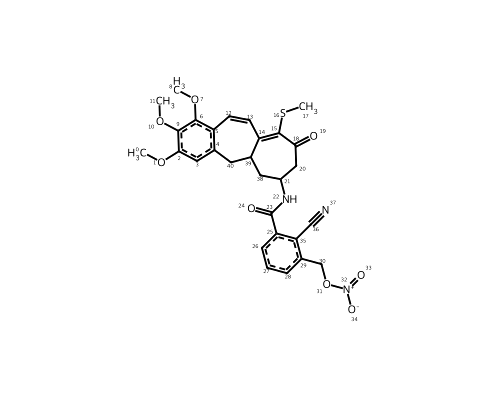 COc1cc2c(c(OC)c1OC)C=CC1=C(SC)C(=O)CC(NC(=O)c3cccc(CO[N+](=O)[O-])c3C#N)CC1C2